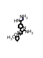 CC1(O)CCCC1n1cc2c(N)nc3cc(C(=N)/C=C\N)ccc3c2n1